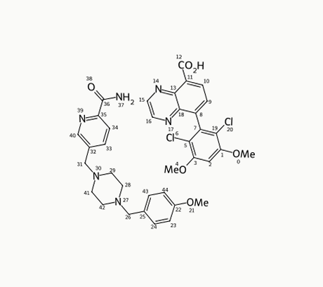 COc1cc(OC)c(Cl)c(-c2ccc(C(=O)O)c3nccnc23)c1Cl.COc1ccc(CN2CCN(Cc3ccc(C(N)=O)nc3)CC2)cc1